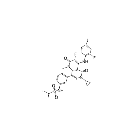 [CH2]C(C)S(=O)(=O)Nc1cccc(-c2nn(C3CC3)c(=O)c3c(Nc4ccc(I)cc4F)c(F)c(=O)n(C)c23)c1